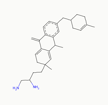 C=C1C2=CCC(C)(CCC(N)CN)C=C2C(C)c2cc(CC3CC=C(C)CC3)ccc21